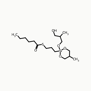 CCCCCC(=O)SCCC[Si]1(OCC(C)CO)OCC(C)CO1